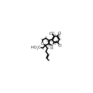 CC=CCCC1(CC(=O)O)OCCc2c1[nH]c1c(Cl)cc(Cl)c(Cl)c21